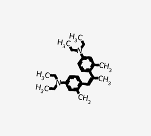 CCN(CC)c1ccc(C=C(C)c2ccc(N(CC)CC)cc2C)c(C)c1